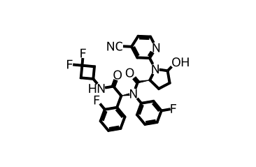 N#Cc1ccnc(N2C(O)CC[C@H]2C(=O)N(c2cccc(F)c2)[C@H](C(=O)NC2CC(F)(F)C2)c2ccccc2F)c1